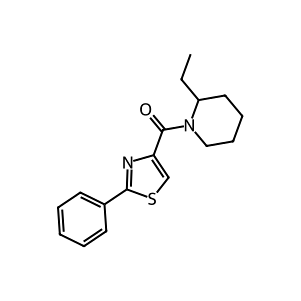 CCC1CCCCN1C(=O)c1csc(-c2ccccc2)n1